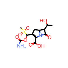 CC(O)C1C(=O)N2C(C(=O)O)=C(C(OC(N)=O)S(C)(=O)=O)CC12